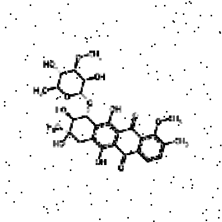 COc1c(C)ccc2c1C(=O)c1c(O)c3c(c(O)c1C2=O)C[C@@](C)(O)[C@@H](O)[C@@H]3O[C@@H]1O[C@@H](C)[C@H](O)[C@@H](OC)[C@H]1O